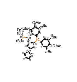 COc1c(C(C)(C)C)cc(P(c2cc(C(C)(C)C)c(OC)c(C(C)(C)C)c2)c2ccc[c-]2[C@@H](C)P(C(C)(C)C)C(C)(C)C)cc1C(C)(C)C.[Fe+2].c1cc[cH-]c1